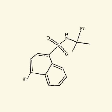 CCC(C)(C)NS(=O)(=O)c1ccc(C(C)C)c2ccccc12